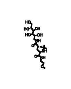 COCCNC(=O)C(CCC(=O)NC[C@H](O)[C@@H](O)[C@H](O)[C@H](O)CO)NC(C)(C)C